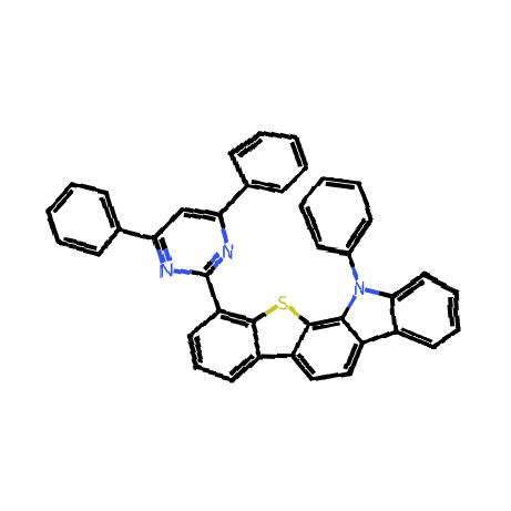 c1ccc(-c2cc(-c3ccccc3)nc(-c3cccc4c3sc3c4ccc4c5ccccc5n(-c5ccccc5)c43)n2)cc1